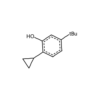 CC(C)(C)c1ccc(C2CC2)c(O)c1